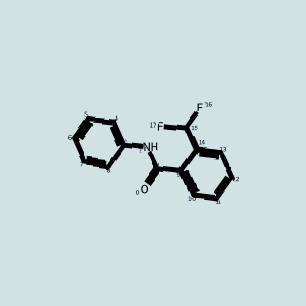 O=C(Nc1ccccc1)c1ccccc1C(F)F